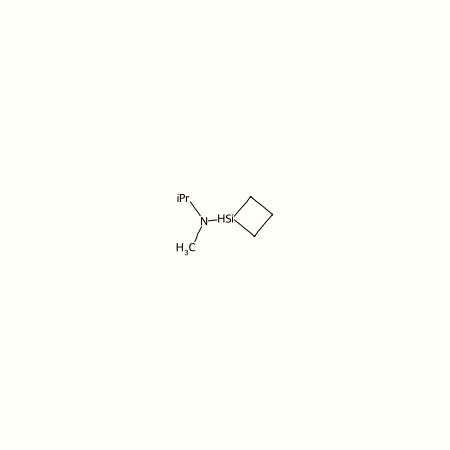 CC(C)N(C)[SiH]1CCC1